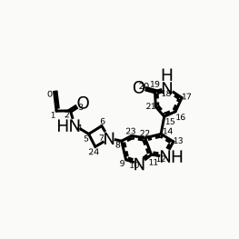 C=CC(=O)NC1CN(c2cnc3[nH]cc(-c4cc[nH]c(=O)c4)c3c2)C1